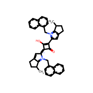 CC1CCC2=C/C(=C3/C(=O)C(c4cc5c(n4Cc4cccc6ccccc46)C(C)CC5)=C3O)[N+](Cc3cccc4ccccc34)=C21